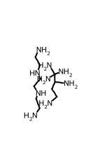 NCCC(N)C(N)(N)N.NCCNCCNCCN